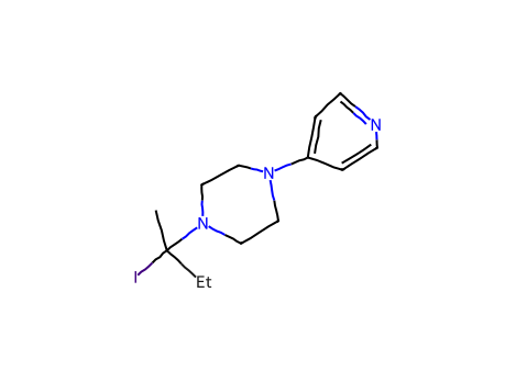 CCC(C)(I)N1CCN(c2ccncc2)CC1